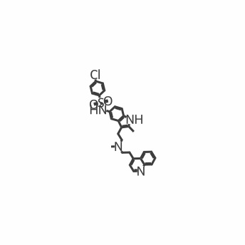 Cc1[nH]c2ccc(NS(=O)(=O)c3ccc(Cl)cc3)cc2c1CCN(C)CCc1ccnc2ccccc12